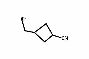 CC(C)CC1CC(C#N)C1